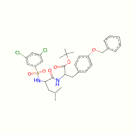 CC(C)CC(NS(=O)(=O)c1cc(Cl)cc(Cl)c1)C(=O)NC(Cc1ccc(OCc2ccccc2)cc1)C(=O)OC(C)(C)C